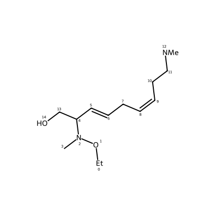 CCON(C)C(/C=C/C/C=C\CCNC)CO